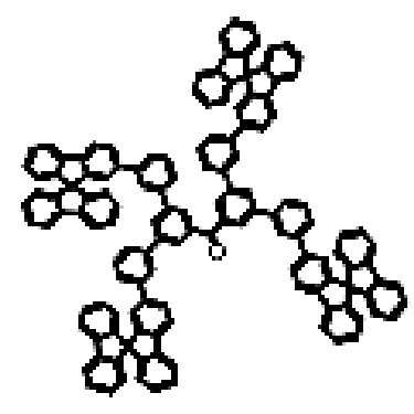 O=C(c1cc(-c2cccc(-c3ccc4c(c3)C3(c5ccccc5-c5ccccc53)c3ccccc3-4)c2)cc(-c2cccc(-c3ccc4c(c3)C3(c5ccccc5-c5ccccc53)c3ccccc3-4)c2)c1)c1cc(-c2cccc(-c3ccc4c(c3)C3(c5ccccc5-c5ccccc53)c3ccccc3-4)c2)cc(-c2cccc(-c3ccc4c(c3)C3(c5ccccc5-c5ccccc53)c3ccccc3-4)c2)c1